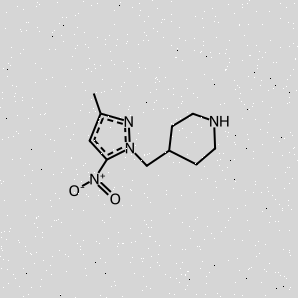 Cc1cc([N+](=O)[O-])n(CC2CCNCC2)n1